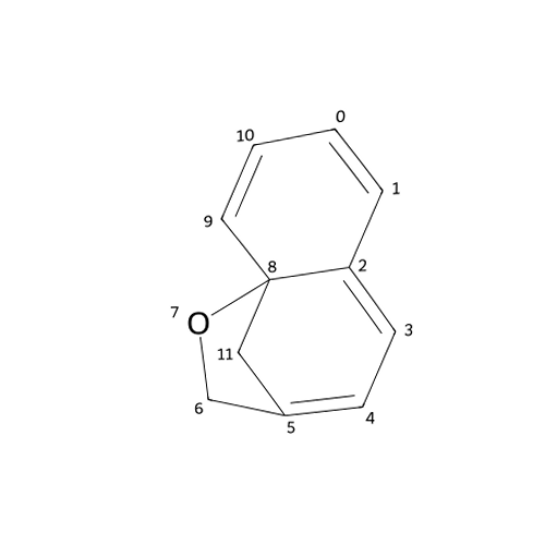 C1=CC2=CC=C3COC2(C=C1)C3